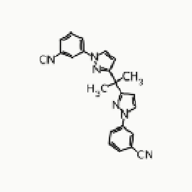 [C-]#[N+]c1cccc(-n2ccc(C(C)(C)c3ccn(-c4cccc(C#N)c4)n3)n2)c1